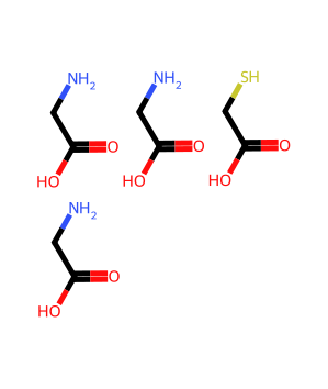 NCC(=O)O.NCC(=O)O.NCC(=O)O.O=C(O)CS